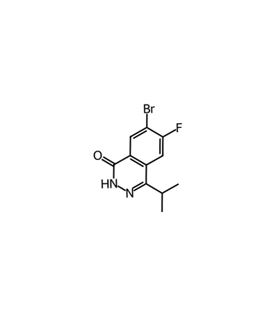 CC(C)c1n[nH]c(=O)c2cc(Br)c(F)cc12